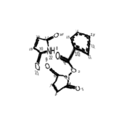 O=C(ON1C(=O)CCC1=O)c1ccccc1.O=C1C=CC(=O)N1